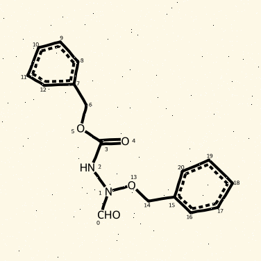 O=CN(NC(=O)OCc1ccccc1)OCc1ccccc1